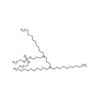 CCCCCCCCCCN(CCCCCCCCCC)CCCN(CCCCCCCCCC)CCCOP(=O)(OCC)OCC